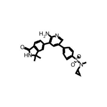 CN(C1CC1)S(=O)(=O)c1ccc(-c2cnc(N)c(-c3ccc4c(c3)C(C)(C)NC4=O)c2)cc1